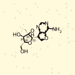 C[C@@]1(O)[C@H](O)[C@@H](CO)O[C@H]1c1coc2c(N)ncnc12